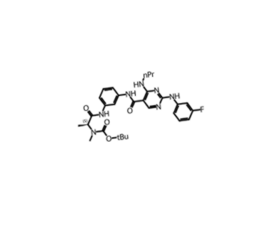 CCCNc1nc(Nc2cccc(F)c2)ncc1C(=O)Nc1cccc(NC(=O)[C@H](C)N(C)C(=O)OC(C)(C)C)c1